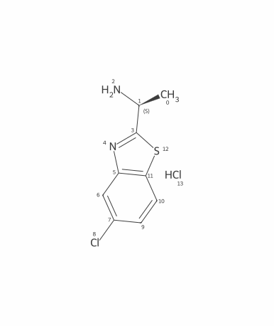 C[C@H](N)c1nc2cc(Cl)ccc2s1.Cl